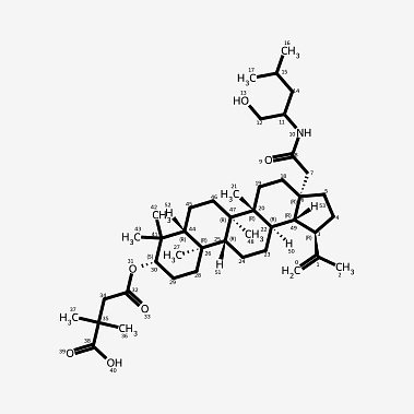 C=C(C)[C@@H]1CC[C@]2(CC(=O)NC(CO)CC(C)C)CC[C@]3(C)[C@H](CC[C@@H]4[C@@]5(C)CC[C@H](OC(=O)CC(C)(C)C(=O)O)C(C)(C)[C@@H]5CC[C@]43C)[C@@H]12